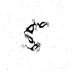 Nc1cc(Cc2cnn(Cc3ccc(C(=O)NCc4ccc(=O)[nH]c4)cc3)c2)c2nn[nH]c2n1